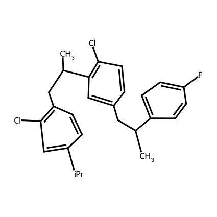 CC(C)c1ccc(CC(C)c2cc(CC(C)c3ccc(F)cc3)ccc2Cl)c(Cl)c1